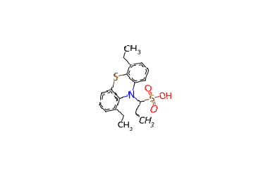 CCc1cccc2c1Sc1cccc(CC)c1N2C(CC)S(=O)(=O)O